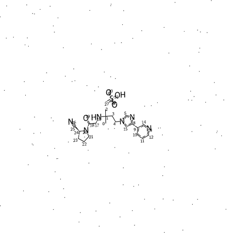 CC(C)(CCn1cnc(-c2cccnc2)c1)NCC(=O)N1CCC[C@H]1C#N.CS(=O)(=O)O